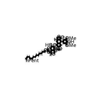 CCCCC/C=C\C/C=C\CCCCCCCCOC(=O)O[C@H]1C2O[C@H](C)OC[C@H]2O[C@@H](Oc2c3c(cc4c2OCO4)[C@@H](c2cc(OC)c(O)c(OC)c2)C2C(=O)OC[C@@H]2C3)[C@@H]1O